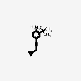 CC(C)(C)c1cc(C#CCC2CC2)ccc1N